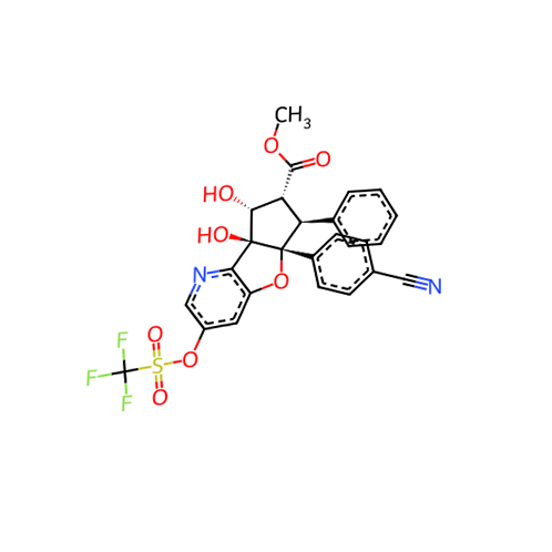 COC(=O)[C@H]1[C@@H](O)[C@@]2(O)c3ncc(OS(=O)(=O)C(F)(F)F)cc3O[C@@]2(c2ccc(C#N)cc2)[C@@H]1c1ccccc1